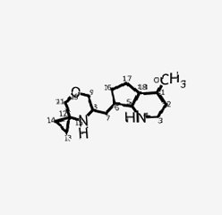 CC1CCNC2C(CC3COCC4(CC4)N3)CCC12